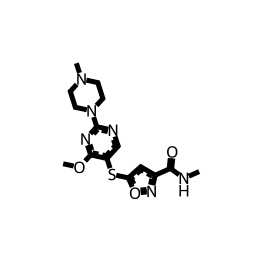 CNC(=O)c1cc(Sc2cnc(N3CCN(C)CC3)nc2OC)on1